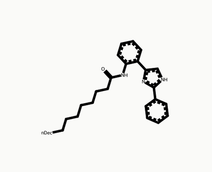 CCCCCCCCCCCCCCCCCC(=O)Nc1ccccc1-c1c[nH]c(-c2ccccc2)n1